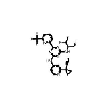 N#CC1(c2cc(Nc3nc(NC(CF)C(F)F)nc(-c4cccc(C(F)(F)F)n4)n3)ccn2)CC1